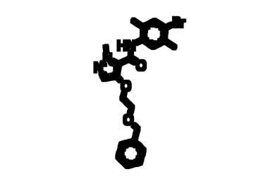 Cc1cc(NC(=O)c2c(OCCOCc3ccccc3)cnn2C)c(C)cc1Br